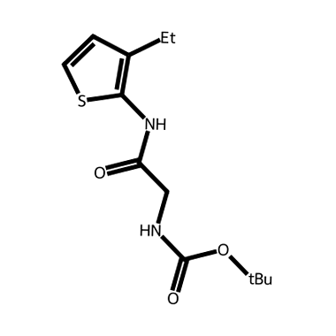 CCc1ccsc1NC(=O)CNC(=O)OC(C)(C)C